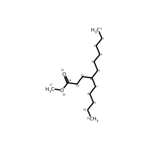 CCCCCCC(CCCCC)CCC(=O)OC